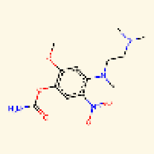 COc1cc(N(C)CCN(C)C)c([N+](=O)[O-])cc1OC(N)=O